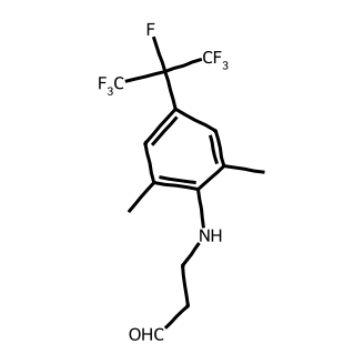 Cc1cc(C(F)(C(F)(F)F)C(F)(F)F)cc(C)c1NCCC=O